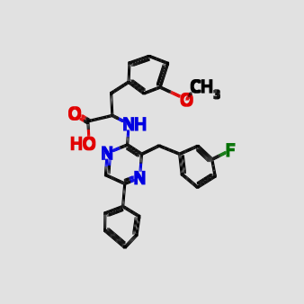 COc1cccc(CC(Nc2ncc(-c3ccccc3)nc2Cc2cccc(F)c2)C(=O)O)c1